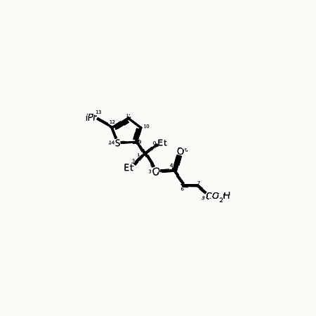 CCC(CC)(OC(=O)CCC(=O)O)c1ccc(C(C)C)s1